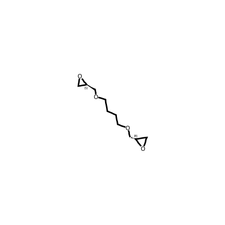 C(CCOC[C@H]1CO1)COC[C@@H]1CO1